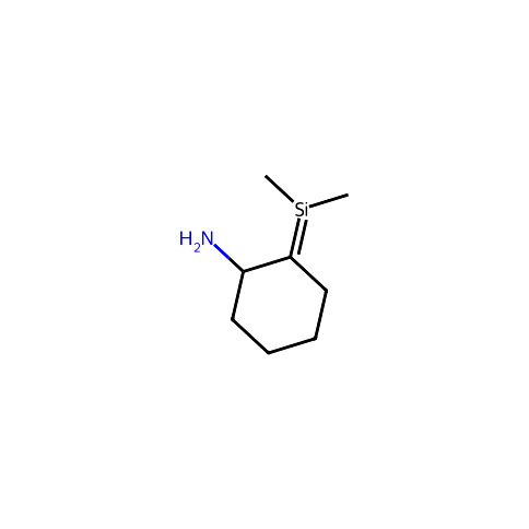 C[Si](C)=C1CCCCC1N